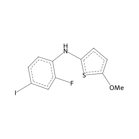 COc1ccc(Nc2ccc(I)cc2F)s1